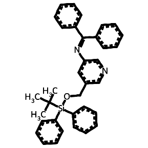 CC(C)(C)[Si](OCc1cncc(N=C(c2ccccc2)c2ccccc2)c1)(c1ccccc1)c1ccccc1